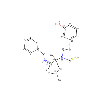 C/C(=N/Cc1ccccc1)C(C)(CC(C)C)N(C=S)CCc1cccc(O)c1